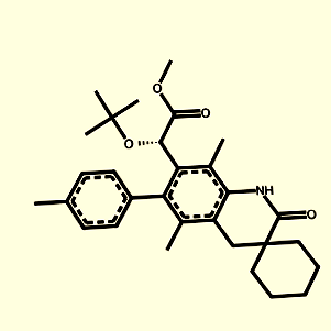 COC(=O)[C@@H](OC(C)(C)C)c1c(C)c2c(c(C)c1-c1ccc(C)cc1)CC1(CCCCC1)C(=O)N2